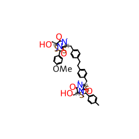 COc1ccc(C2S[C@]3(CO)C(=O)N(C)[C@](Cc4ccc(CCc5ccc(C[C@]67SC(c8ccc(C)cc8)S[C@](CO)(C(=O)N6C)N(C)C7=O)cc5)cc4)(S2)C(=O)N3C)cc1